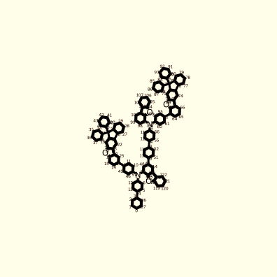 c1ccc(-c2ccc(N(c3ccc(-c4ccc5oc6cc7c(cc6c5c4)-c4ccccc4C7(c4ccccc4)c4ccccc4)cc3)c3cc(-c4ccc(-c5ccc(N(c6ccc(-c7cccc8c7oc7cc9c(cc78)-c7ccccc7C9(c7ccccc7)c7ccccc7)cc6)c6cccc7c6oc6ccccc67)cc5)cc4)cc4c3oc3ccccc34)cc2)cc1